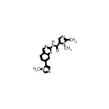 Cc1ncc(C(=O)Nc2ncc3ccc(-c4cncn4C)cc3n2)n1C